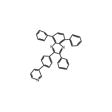 c1ccc(-c2nc3c(-c4ccccc4)ccc(-c4ccccc4)c3nc2-c2ccc(-c3cccnc3)cc2)cc1